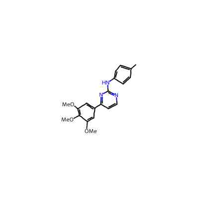 COc1cc(-c2ccnc(Nc3ccc(C)cc3)n2)cc(OC)c1OC